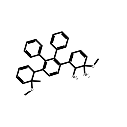 COC1(C)C=CC=CC1c1ccc(C2=CC=CC(N)(OC)C2N)c(-c2ccccc2)c1-c1ccccc1